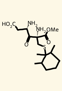 COC(=O)[C@@](N)(CSC1(C)C(C)CCCC1C)C(=O)[C@@H](N)CC(=O)O